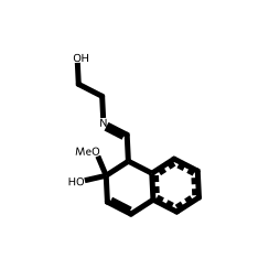 COC1(O)C=Cc2ccccc2C1C=NCCO